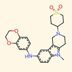 Cn1c2c(c3cc(Nc4ccc5c(c4)OCCO5)ccc31)CN(C1CCS(=O)(=O)CC1)CC2